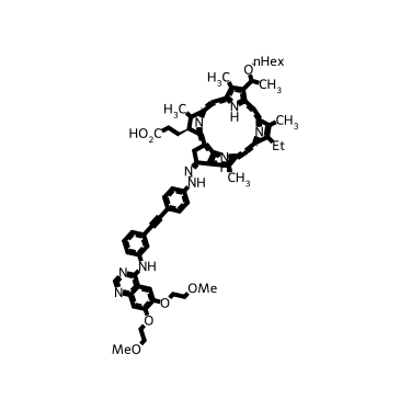 CCCCCCOC(C)c1c(C)c2cc3nc(c4c5[nH]c(cc6nc(cc1[nH]2)C(C)=C6CC)c(C)c5/C(=N\Nc1ccc(C#Cc2cccc(Nc5ncnc6cc(OCCOC)c(OCCOC)cc56)c2)cc1)C4)[C@@H](CCC(=O)O)C3C